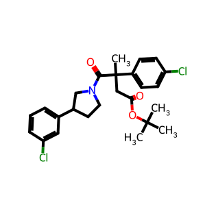 CC(C)(C)OC(=O)CC(C)(C(=O)N1CCC(c2cccc(Cl)c2)C1)c1ccc(Cl)cc1